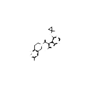 Cc1oc2ncnc(NC3(C)CC3)c2c1C(=O)N1CCc2nnc(Cl)cc2C1